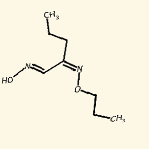 CCCON=C(C=NO)CCC